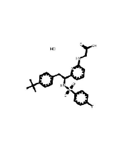 CC(C)(C)c1ccc(CC(NS(=O)(=O)c2ccc(F)cc2)c2cccc(NCC(=O)O)n2)cc1.Cl